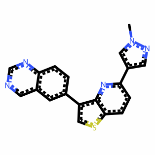 Cn1cc(-c2ccc3scc(-c4ccc5ncncc5c4)c3n2)cn1